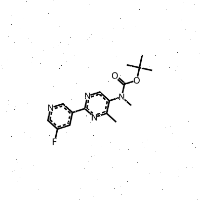 Cc1nc(-c2cncc(F)c2)ncc1N(C)C(=O)OC(C)(C)C